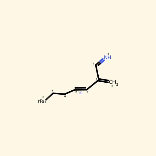 C=C(C=N)/C=C/CCC(C)(C)C